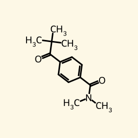 CN(C)C(=O)c1ccc(C(=O)C(C)(C)C)cc1